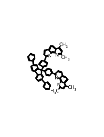 Cc1cc(C)c2ccc3ccc(-c4ccc(C5(c6ccc(-c7ccc8ccc9c(C)cc(C)nc9c8n7)cc6)c6cc(-c7ccccc7)ccc6-c6ccc(-c7ccccc7)cc65)cc4)nc3c2n1